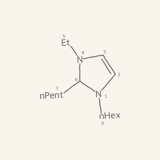 CCCCCCN1C=CN(CC)C1CCCCC